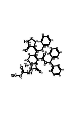 CC(C)(C)OC(=O)N[C@@H]1C(=O)N2C(C(=O)OC(c3ccccc3)c3ccccc3)=C(C(Cc3cccnc3)=C3CCNC3=O)CS[C@H]12